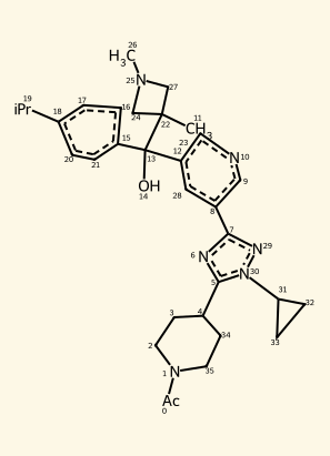 CC(=O)N1CCC(c2nc(-c3cncc(C(O)(c4ccc(C(C)C)cc4)C4(C)CN(C)C4)c3)nn2C2CC2)CC1